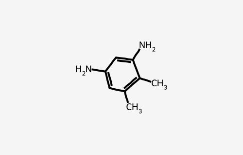 Cc1cc(N)cc(N)c1C